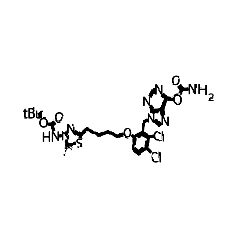 C[C@H]1SC(CCCCOc2ccc(Cl)c(Cl)c2Cn2cnc3c(OC(N)=O)ncnc32)=NN1NC(=O)OC(C)(C)C